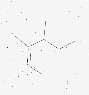 CC=C(C)C(C)CC